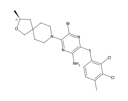 Cc1ccc(Sc2nc(Br)c(N3CCC4(CC3)CO[C@@H](C)C4)nc2N)c(Cl)c1Cl